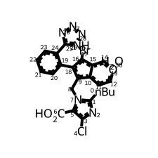 CCCCc1nc(Cl)c(C(=O)O)n1Cc1c2ccocc-2c(Br)c1-c1ccccc1-c1nnn[nH]1.O